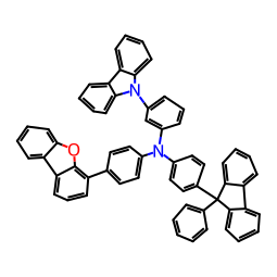 c1ccc(C2(c3ccc(N(c4ccc(-c5cccc6c5oc5ccccc56)cc4)c4cccc(-n5c6ccccc6c6ccccc65)c4)cc3)c3ccccc3-c3ccccc32)cc1